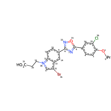 CC(C)Oc1ccc(-c2nc(-c3ccc4c(c3)c(Br)cn4CCC(=O)O)no2)cc1Cl